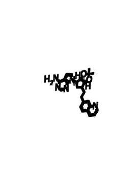 CC1(C)O[C@@H]2[C@H](O1)C(CCc1ccc3cccnc3c1)C[C@H]2n1ccc2c(N)ncnc21